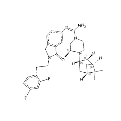 C[C@H]1[C@@H](N2CCN(C(N)=Nc3ccc4c(c3)C(=O)N(CCc3ccc(F)cc3F)C4)C[C@@H]2C)C[C@@H]2C[C@@H]1C2(C)C